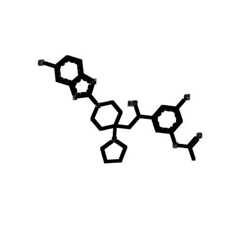 CC(=O)Oc1cc(Cl)cc(C(O)CC2(N3CCCC3)CCN(c3nc4ccc(Cl)cc4s3)CC2)c1